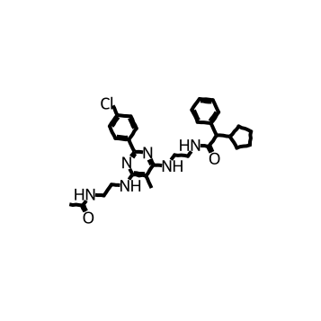 CC(=O)NCCNc1nc(-c2ccc(Cl)cc2)nc(NCCNC(=O)C(c2ccccc2)C2CCCC2)c1C